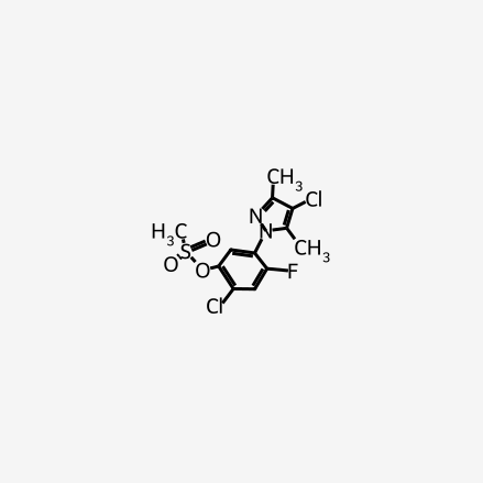 Cc1nn(-c2cc(OS(C)(=O)=O)c(Cl)cc2F)c(C)c1Cl